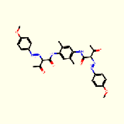 COc1ccc(/N=N/C(C(C)=O)C(=O)Nc2cc(C)c(NC(=O)C(/N=N/c3ccc(OC)cc3)C(C)=O)cc2C)cc1